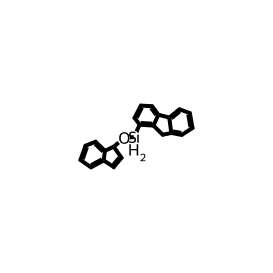 C1=CC(O[SiH2]c2cccc3c2Cc2ccccc2-3)c2ccccc21